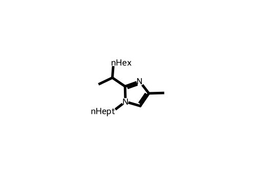 CCCCCCCn1cc(C)nc1C(C)CCCCCC